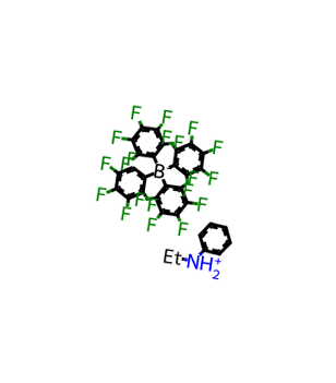 CC[NH2+]c1ccccc1.Fc1c(F)c(F)c([B-](c2c(F)c(F)c(F)c(F)c2F)(c2c(F)c(F)c(F)c(F)c2F)c2c(F)c(F)c(F)c(F)c2F)c(F)c1F